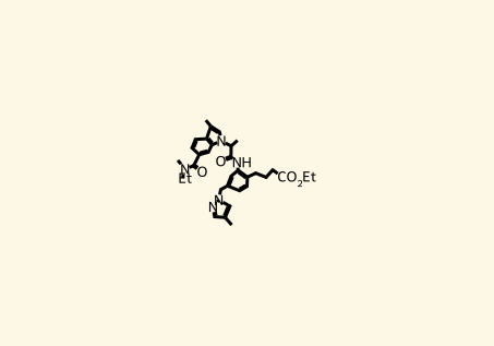 CCOC(=O)CCCc1ccc(Cn2cc(C)cn2)cc1NC(=O)C(C)n1cc(C)c2ccc(C(=O)N(C)CC)cc21